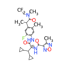 Cc1cc(NC(=O)[C@@H](NC(=O)c2nonc2C)C(C2CC2)C2CC2)c(F)cc1C(C)C(=O)N(C)CC(F)(F)F